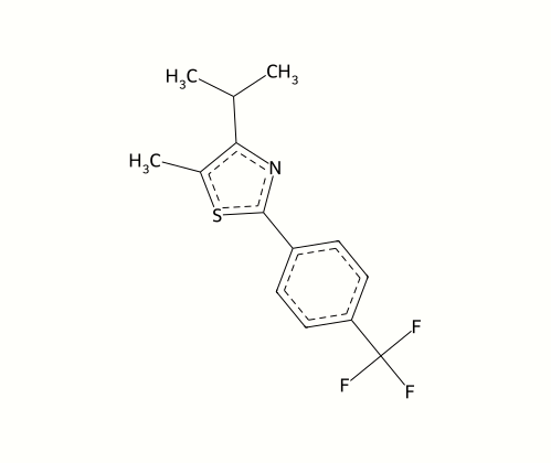 Cc1sc(-c2ccc(C(F)(F)F)cc2)nc1C(C)C